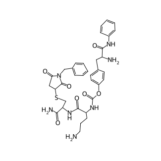 NCCCC(NC(=O)Oc1ccc(CC(N)C(=O)Nc2ccccc2)cc1)C(=O)NC(CSC1CC(=O)N(Cc2ccccc2)C1=O)C(N)=O